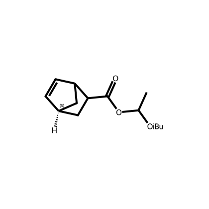 CC(C)COC(C)OC(=O)C1C[C@H]2C=CC1C2